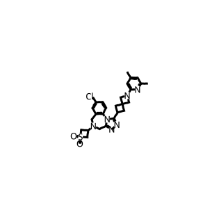 Cc1cc(C)nc(N2CC3(CC(c4nnc5n4-c4ccc(Cl)cc4CN(C4CS(=O)(=O)C4)C5)C3)C2)c1